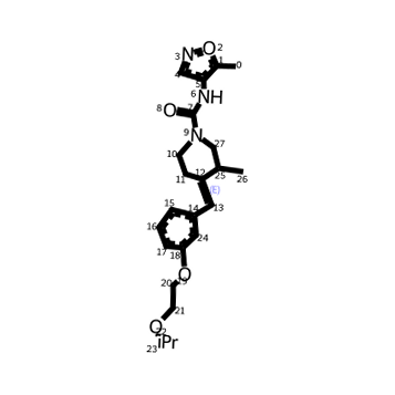 Cc1oncc1NC(=O)N1CC/C(=C\c2cccc(OCCOC(C)C)c2)C(C)C1